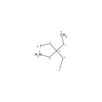 CCC(CN)(CI)CI